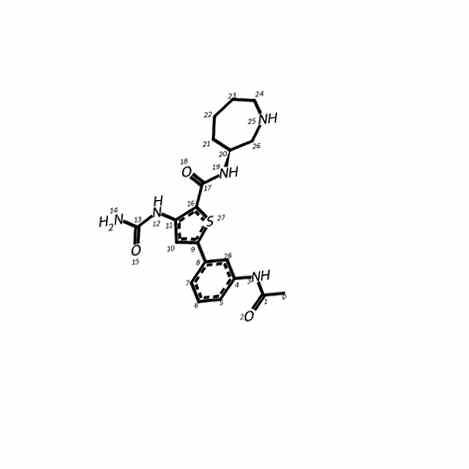 CC(=O)Nc1cccc(-c2cc(NC(N)=O)c(C(=O)N[C@H]3CCCCNC3)s2)c1